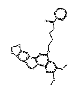 COc1cc2c(OCCCOC(=O)c3ccccc3)nc3c4cc5c(cc4ccc3c2cc1OC)OCO5